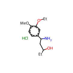 CCOc1cc(C(N)CC(O)CC)ccc1OC.Cl